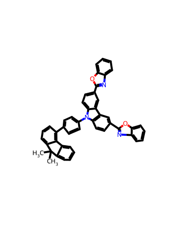 CC1(C)c2ccccc2-c2c(-c3ccc(-n4c5ccc(-c6nc7ccccc7o6)cc5c5cc(-c6nc7ccccc7o6)ccc54)cc3)cccc21